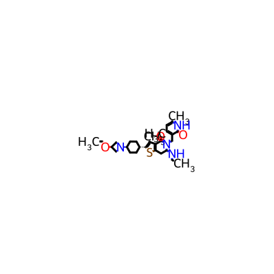 CCNC1Cc2sc([C@H]3CC[C@H](N4CC(OCC)C4)CC3)c(C)c2C(=O)N1Cc1c(C)cc(C)[nH]c1=O